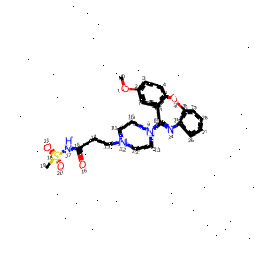 COc1ccc2c(c1)C(N1CCN(CCC(=O)NS(C)(=O)=O)CC1)=Nc1ccccc1O2